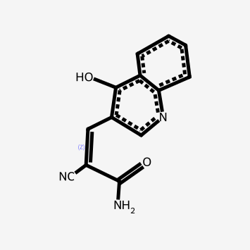 N#C/C(=C/c1cnc2ccccc2c1O)C(N)=O